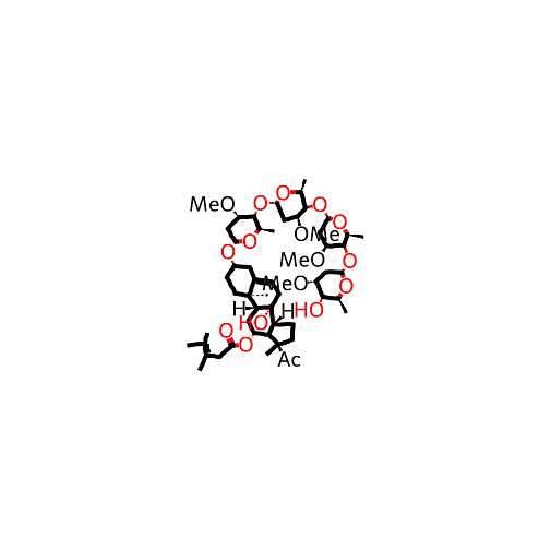 CO[C@H]1C[C@H](O[C@@H]2[C@H](C)O[C@@H](O[C@H]3[C@@H](OC)C[C@H](O[C@H]4CC[C@@]5(C)C(=CC[C@@]6(O)[C@@H]7CC[C@@](C)(C(C)=O)C7[C@H](OC(=O)CC(C)=C(C)C)C[C@@H]65)C4)O[C@@H]3C)C[C@@H]2OC)O[C@@H](C)[C@H]1O[C@H]1C[C@@H](OC)[C@@H](O)[C@H](C)O1